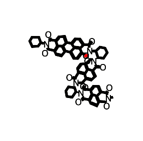 CN1C(=O)c2ccc3c4c(ccc(c24)C1=O)C(=O)N([C@H]1CCCC[C@@H]1N1C(=O)c2ccc4c5c(ccc(c25)C1=O)C(=O)N([C@H]1CCCCC1N1C(=O)c2ccc5c6ccc7c8c(ccc(c9ccc(c2c59)C1=O)c86)C(=O)N(C1CCCCC1)C7=O)C4=O)C3=O